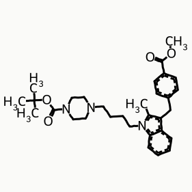 COC(=O)c1ccc(Cc2c(C)n(CCCCN3CCN(C(=O)OC(C)(C)C)CC3)c3ccccc23)cc1